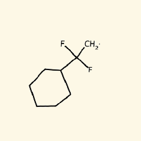 [CH2]C(F)(F)C1CCCCC1